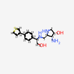 N[C@H]1[C@@H](O)CN[C@@H]1CN[C@@H](CO)c1ccc(-c2ccsc2)cc1